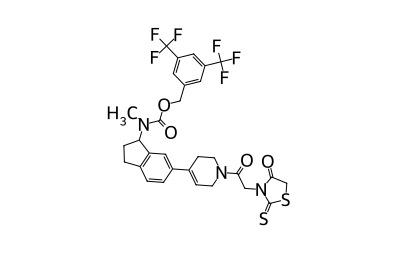 CN(C(=O)OCc1cc(C(F)(F)F)cc(C(F)(F)F)c1)C1CCc2ccc(C3=CCN(C(=O)CN4C(=O)CSC4=S)CC3)cc21